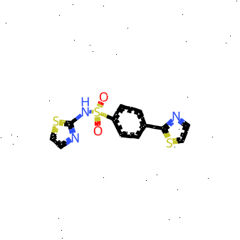 O=S(=O)(Nc1nccs1)c1ccc(-c2nccs2)cc1